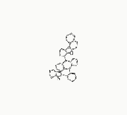 c1ccc(-c2c3ccccc3c(-c3cccc4c3oc3ccc5ccccc5c34)c3ccccc23)c(-c2cc3ccccc3s2)c1